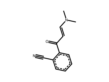 CN(C)C=CC(=O)c1ccccc1C#N